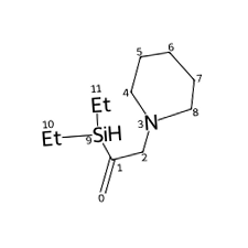 C=C(CN1CCCCC1)[SiH](CC)CC